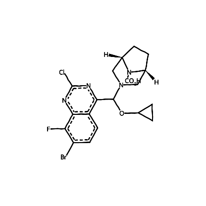 O=C(O)N1[C@@H]2CC[C@H]1CN(C(OC1CC1)c1nc(Cl)nc3c(F)c(Br)ccc13)C2